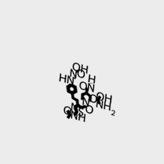 CNC(=O)C1CCN(C(=O)c2sc(NC(C)=O)nc2CCc2ccc(NC=NC(=O)O)cc2)CC1.NC(=O)O